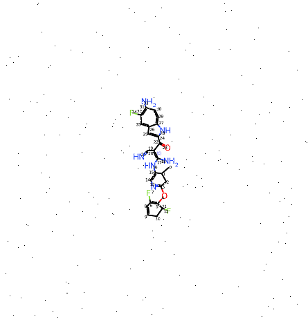 CC1CC(OC2=C(F)C=CCC2F)=NC=C1N/C(N)=C(\C=N)C(=O)c1cc2c([nH]1)=C=CC(N)=C(F)C=2